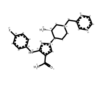 NC(=O)c1cn([C@@H]2CCN(Cc3cnccn3)C[C@H]2N)nc1Nc1ccc(F)cc1